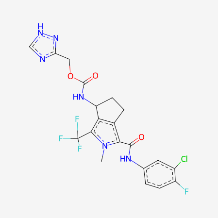 Cn1c(C(=O)Nc2ccc(F)c(Cl)c2)c2c(c1C(F)(F)F)C(NC(=O)OCc1nc[nH]n1)CC2